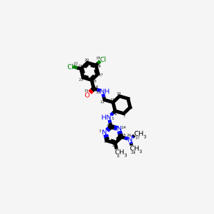 Cc1cnc(NC2CCCCC2CNC(=O)c2cc(Cl)cc(Cl)c2)nc1N(C)C